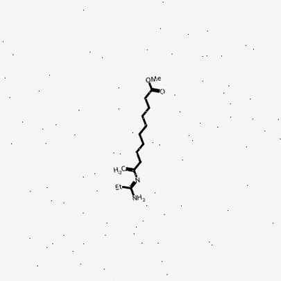 C=C(CCCCCCCCC(=O)OC)/N=C(/N)CC